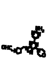 Nc1ncc(-c2nc(N3CCOCC3)c3ncn(CC4CCN(CC=O)C4)c3n2)cn1